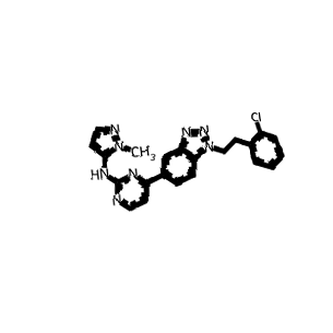 Cn1nccc1Nc1nccc(-c2ccc3c(c2)nnn3CCc2ccccc2Cl)n1